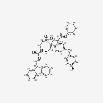 O=C(CC1(c2ccc(Oc3ccc(F)cc3)cc2)CCN(C(=O)OCC2c3ccccc3-c3ccccc32)CCS1(=O)=O)NOC1CCCCO1